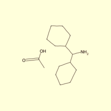 CC(=O)O.NC(C1CCCCC1)C1CCCCC1